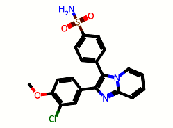 COc1ccc(-c2nc3ccccn3c2-c2ccc(S(N)(=O)=O)cc2)cc1Cl